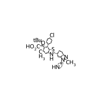 Cc1cc2c(c(-c3ccc(Cl)cc3)c1[C@H](OC(C)(C)C)C(=O)O)SC(c1ccc3nc(C)n([C@@H]4CCNC4)c3c1)N2